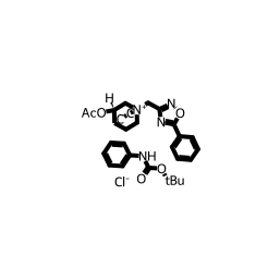 CC(=O)O[C@H]1C[N+]2(Cc3noc(-c4ccccc4)n3)CCC1CC2.CC(C)(C)OC(=O)Nc1ccccc1.[Cl-]